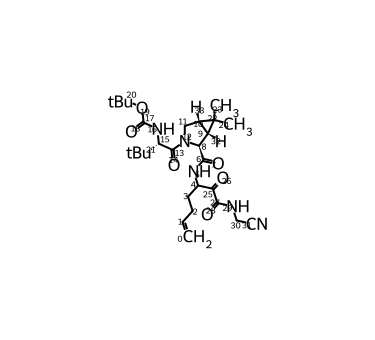 C=CCCC(NC(=O)[C@@H]1[C@@H]2[C@H](CN1C(=O)[C@@H](NC(=O)OC(C)(C)C)C(C)(C)C)C2(C)C)C(=O)C(=O)NCC#N